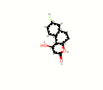 O=c1cc(O)c2c(ccc3cc(F)ccc32)o1